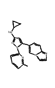 Cc1cccc(-n2nc(NC3CC3)cc2-c2ccc3nccn3c2)n1